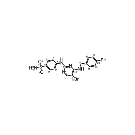 NS(=O)(=O)c1ccc(Nc2ncc(Br)c(NCc3ccc(F)cc3)n2)cc1